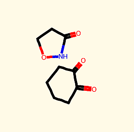 O=C1CCCCC1=O.O=C1CCON1